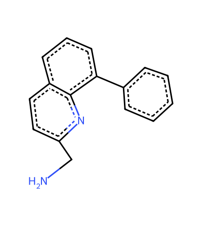 NCc1ccc2cccc(-c3ccccc3)c2n1